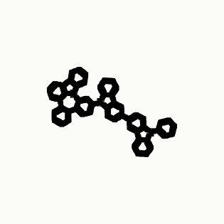 c1ccc(-n2c3ccccc3c3cc(-c4ccc5c(c4)c4ccccc4n5-c4ccc5c(c4)-n4c6ccccc6c6cccc(c64)-c4ccccc4-5)ccc32)cc1